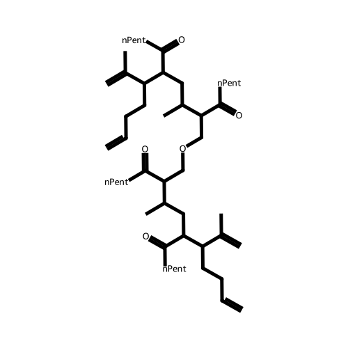 C=CCCC(C(=C)C)C(CC(C)C(COCC(C(=O)CCCCC)C(C)CC(C(=O)CCCCC)C(CCC=C)C(=C)C)C(=O)CCCCC)C(=O)CCCCC